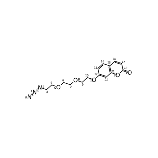 [N-]=[N+]=NCCOCCOCCOc1ccc2ccc(=O)oc2c1